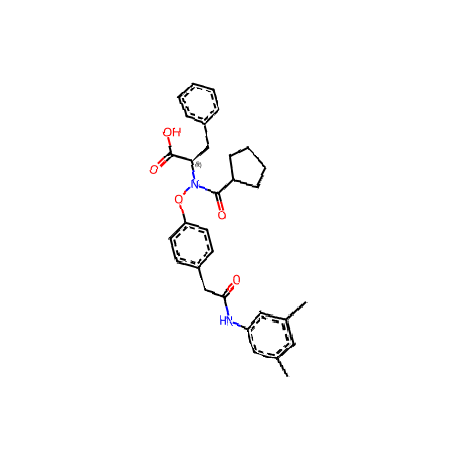 Cc1cc(C)cc(NC(=O)Cc2ccc(ON(C(=O)C3CCCC3)[C@H](Cc3ccccc3)C(=O)O)cc2)c1